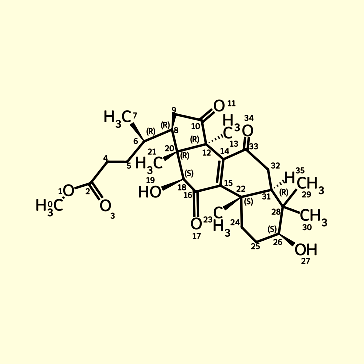 COC(=O)CC[C@@H](C)[C@H]1CC(=O)[C@@]2(C)C3=C(C(=O)[C@@H](O)[C@]12C)[C@@]1(C)CC[C@H](O)C(C)(C)[C@@H]1CC3=O